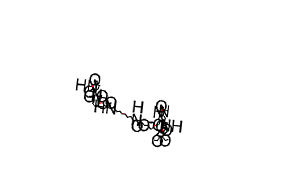 COc1ccc(S(=O)(=O)Nc2cc3c(cc2Oc2ccc(OCC(=O)NCCCCCCCCNC(=O)COc4cccc5c4C(=O)N(C4CCC(=O)NC4=O)C5=O)cc2)n(C)c(=O)n3C)cc1OC